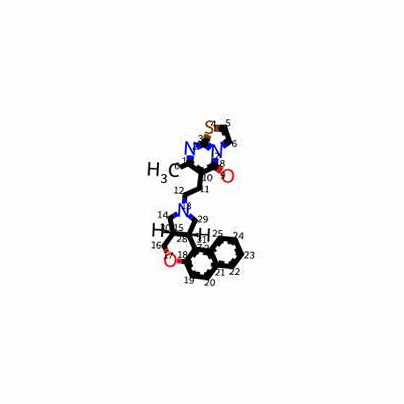 Cc1nc2sccn2c(=O)c1CCN1C[C@H]2COc3ccc4ccccc4c3[C@H]2C1